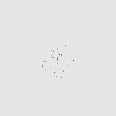 O=C(O)Cc1nnn(C(c2ccccc2)(c2ccccc2)c2ccccc2)n1